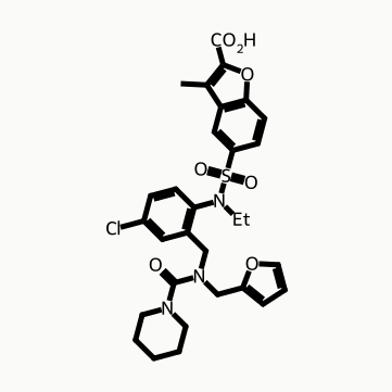 CCN(c1ccc(Cl)cc1CN(Cc1ccco1)C(=O)N1CCCCC1)S(=O)(=O)c1ccc2oc(C(=O)O)c(C)c2c1